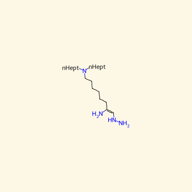 CCCCCCCN(CCCCCCC)CCCCCC/C(N)=C/NN